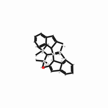 CC1=Cc2ccccc2[CH]1[Zr]([CH]1C(C)=Cc2ccccc21)([CH]([Si](C)(C)C)[Si](C)(C)C)=[Si](C)C